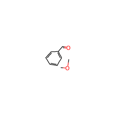 COC.O=Cc1ccccc1